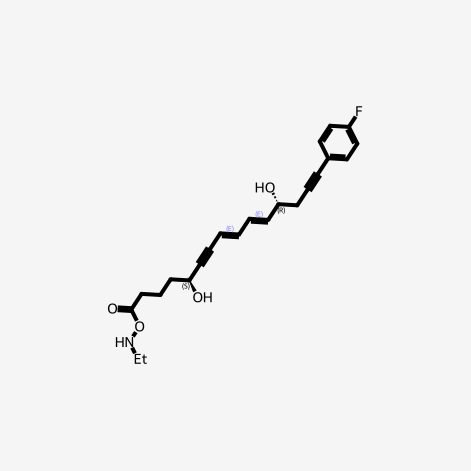 CCNOC(=O)CCC[C@H](O)C#C/C=C/C=C/[C@H](O)CC#Cc1ccc(F)cc1